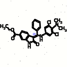 CCOC(=O)c1ccc2c(c1)NC(=O)/C2=C(\Nc1cc(Cl)c(N(C)C)c(Cl)c1)c1ccccc1